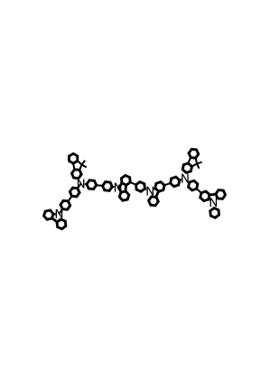 CC1(C)c2ccccc2-c2ccc(N(c3ccc(-c4ccc(-n5c6ccccc6c6ccccc65)cc4)cc3)c3ccc(-c4ccc(-n5c6ccccc6c6c(-c7ccc(-n8c9ccccc9c9cc(-c%10ccc(N(c%11ccc(-c%12ccc%13c(c%12)c%12ccccc%12n%13-c%12ccccc%12)cc%11)c%11ccc%12c(c%11)C(C)(C)c%11ccccc%11-%12)cc%10)ccc98)cc7)cccc65)cc4)cc3)cc21